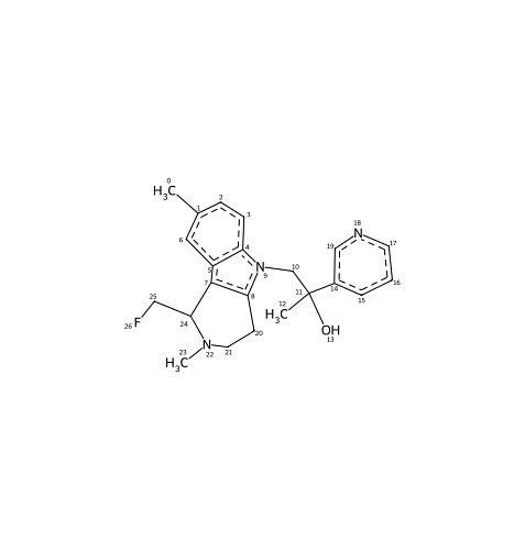 Cc1ccc2c(c1)c1c(n2CC(C)(O)c2cccnc2)CCN(C)C1CF